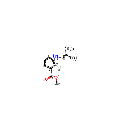 CCCOC(=O)c1cccc(NC=C(C(=O)OCC)C(=O)OCC)c1Cl